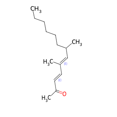 CCCCCCC(C)/C=C(C)/C=C/C(C)=O